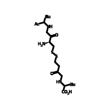 CCC(C)C(NCC(=O)[C@@H](N)CSSCCC(=O)CNC(C(=O)O)C(C)CC)C(C)=O